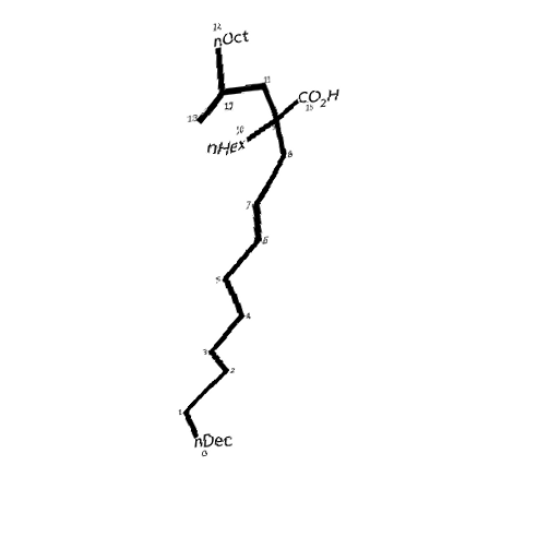 CCCCCCCCCCCCCCCCCCC(CCCCCC)(CC(C)CCCCCCCC)C(=O)O